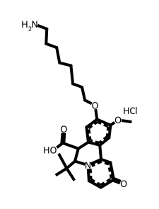 COc1cc2c(cc1OCCCCCCCCN)C(C(=O)O)C(C(C)(C)C)n1ccc(=O)cc1-2.Cl